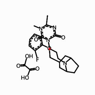 Cc1nc(=O)n(CCCN2C3CCC2CC(COc2ccccc2F)C3)c(=O)n1C.O=C(O)C(=O)O